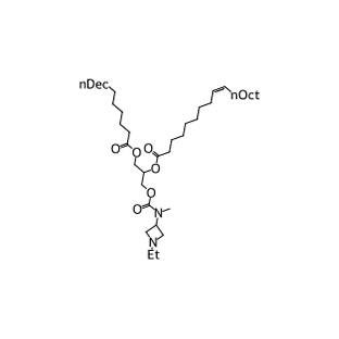 CCCCCCCC/C=C\CCCCCCCC(=O)OC(COC(=O)CCCCCCCCCCCCCCC)COC(=O)N(C)C1CN(CC)C1